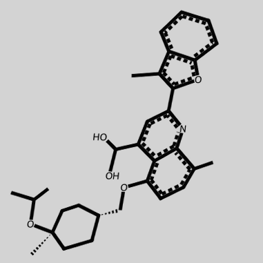 Cc1c(-c2cc(C(O)O)c3c(OC[C@H]4CC[C@](C)(OC(C)C)CC4)ccc(C)c3n2)oc2ccccc12